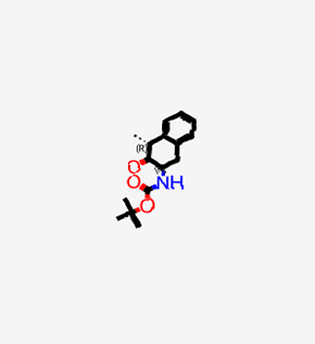 C[C@H]1C(=O)[C@H](NC(=O)OC(C)(C)C)Cc2ccccc21